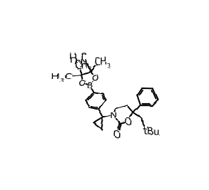 CC(C)(C)CC1(c2ccccc2)CCN(C2(c3ccc(B4OC(C)(C)C(C)(C)O4)cc3)CC2)C(=O)O1